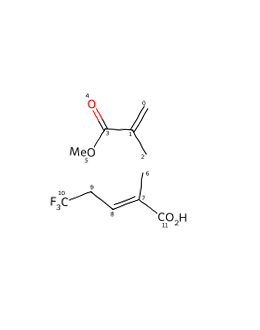 C=C(C)C(=O)OC.CC(=CCC(F)(F)F)C(=O)O